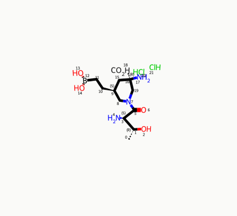 C[C@@H](O)[C@H](N)C(=O)N1C[C@@H](CCB(O)O)C[C@](N)(C(=O)O)C1.Cl.Cl